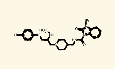 CC(C)n1c(=O)n(C(=O)NCC2CCN(CC(COc3ccc(Cl)cc3)NC(=O)O)CC2)c2ccccc21